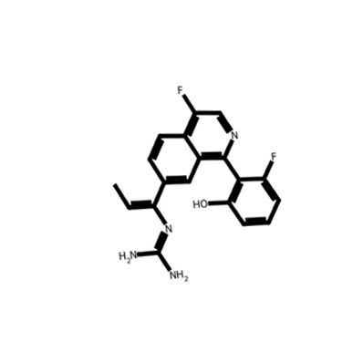 C/C=C(/N=C(N)N)c1ccc2c(F)cnc(-c3c(O)cccc3F)c2c1